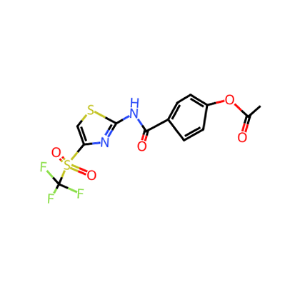 CC(=O)Oc1ccc(C(=O)Nc2nc(S(=O)(=O)C(F)(F)F)cs2)cc1